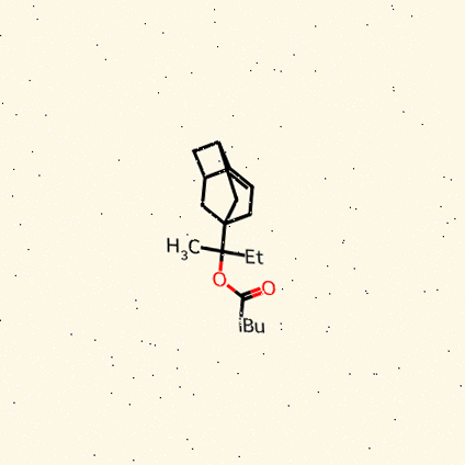 CCC(C)C(=O)OC(C)(CC)C12CC=C3C(CC3C1)C2